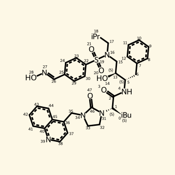 CC[C@H](C)[C@@H](C(=O)N[C@@H](Cc1ccccc1)[C@@H](O)CN(CC(C)C)S(=O)(=O)c1ccc(C=NO)cc1)N1CCN(Cc2ccnc3ccccc23)C1=O